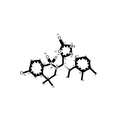 Cc1ccc(F)c(C(C)[C@@H](c2n[nH]c(=O)o2)N2CC(C)(C)c3cc(Cl)ccc3S2(=O)=O)c1C